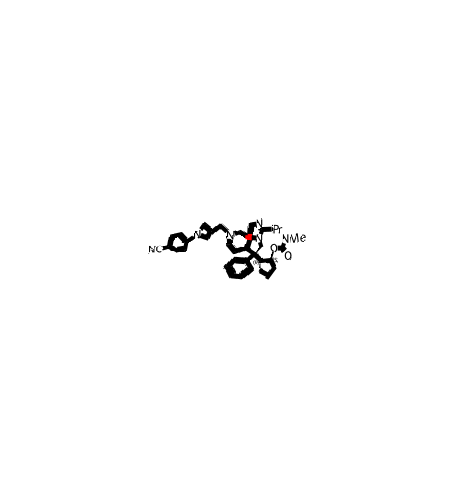 CNC(=O)O[C@H]1CCC[C@@H]1[C@](Cn1ccnc1C(C)C)(c1ccccc1)C1CCN(CC2CN(c3ccc(C#N)cc3)C2)CC1